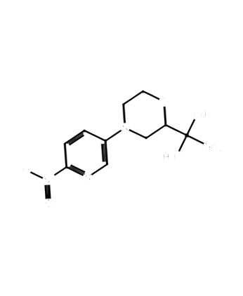 CC(C)(N)C1CN(c2ccc([N+](=O)[O-])nc2)CCO1